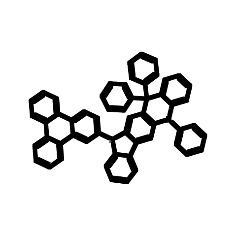 c1ccc(N2c3ccccc3C(c3ccccc3)(c3ccccc3)c3cc4c(cc32)c2ccccc2n4-c2ccc3c4ccccc4c4ccccc4c3c2)cc1